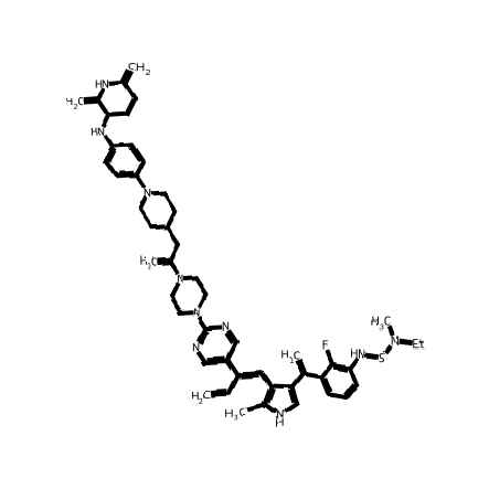 C=C/C(=C\c1c(C(=C)c2cccc(NSN(C)CC)c2F)c[nH]c1C)c1cnc(N2CCN(C(=C)CC3CCN(c4ccc(NC5CCC(=C)NC5=C)cc4)CC3)CC2)nc1